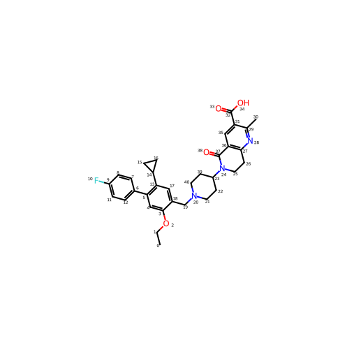 CCOc1cc(-c2ccc(F)cc2)c(C2CC2)cc1CN1CCC(N2CCc3nc(C)c(C(=O)O)cc3C2=O)CC1